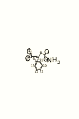 NOC(=O)CC=C=S(=O)=O.c1ccccc1